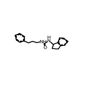 O=C(NCCCc1ccccc1)NC1CCc2ccccc21